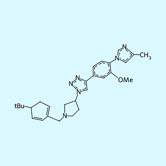 COc1cc(-c2cn(C3CCN(CC4=CCC(C(C)(C)C)C=C4)C3)nn2)ccc1-n1cnc(C)c1